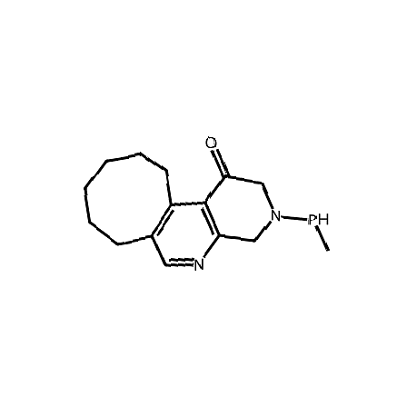 CPN1CC(=O)c2c(ncc3c2CCCCCC3)C1